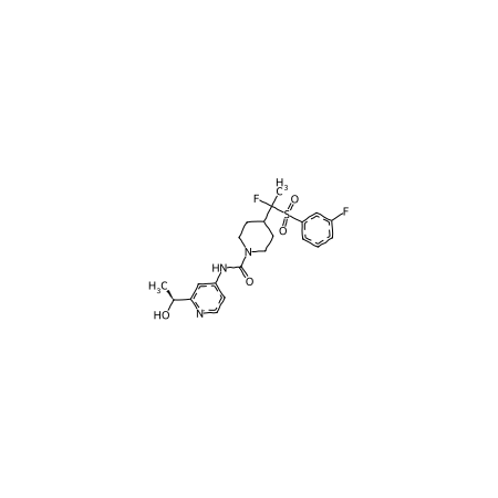 C[C@H](O)c1cc(NC(=O)N2CCC(C(C)(F)S(=O)(=O)c3cccc(F)c3)CC2)ccn1